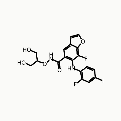 O=C(NOC(CO)CO)c1cc2ccoc2c(F)c1Nc1ccc(I)cc1F